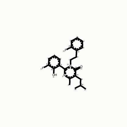 Cc1nc(-c2cccc(F)c2O)n(CCc2ccccc2F)c(=O)c1CC(C)C